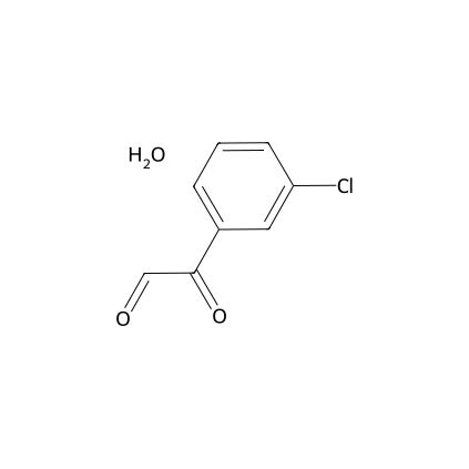 O.O=CC(=O)c1cccc(Cl)c1